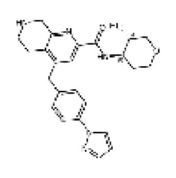 O=C(N[C@@H]1CCOC[C@H]1O)c1cc(Cc2ccc(-n3cccn3)cc2)c2c(n1)CNCC2